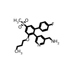 CCCCOc1cc(S(C)(=O)=O)cc(-c2ccc(F)cc2)c1-c1cncc(CN)c1